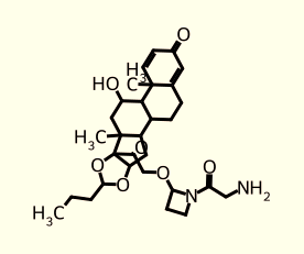 CCCC1OC2CC3C4CCC5=CC(=O)C=CC5(C)C4C(O)CC3(C)C2(C(=O)COC2CCN2C(=O)CN)O1